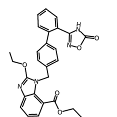 CCOC(=O)c1cccc2nc(OCC)n(Cc3ccc(-c4ccccc4-c4noc(=O)[nH]4)cc3)c12